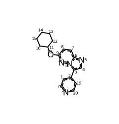 c1cc(-c2cnc3ccc(OC4CCCCC4)nn23)ccn1